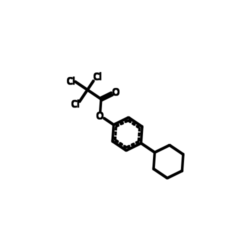 O=C(Oc1ccc(C2CCCCC2)cc1)C(Cl)(Cl)Cl